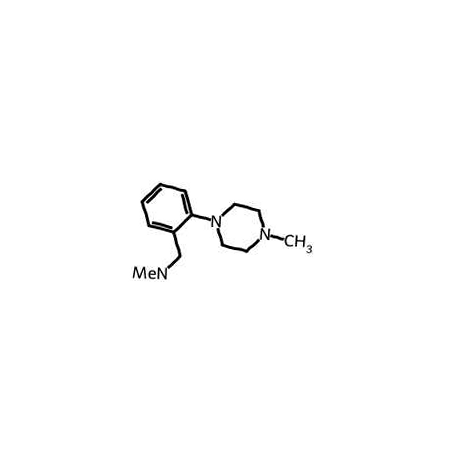 [CH2]NCc1ccccc1N1CCN(C)CC1